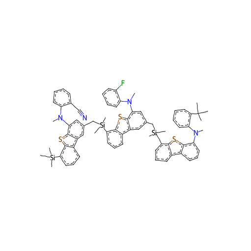 CN(c1ccccc1C#N)c1cc(C[Si](C)(C)c2cccc3c2sc2c(N(C)c4ccccc4F)cc(C[Si](C)(C)c4cccc5c4sc4c(N(C)c6ccccc6C(C)(C)C)cccc45)cc23)cc2c1sc1c([Si](C)(C)C)cccc12